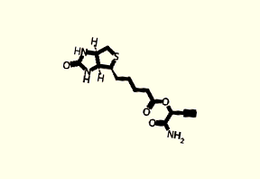 C#CC(OC(=O)CCCC[C@@H]1SC[C@@H]2NC(=O)N[C@@H]21)C(N)=O